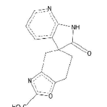 O=C(O)c1nc2c(o1)CCC1(C2)C(=O)Nc2ncccc21